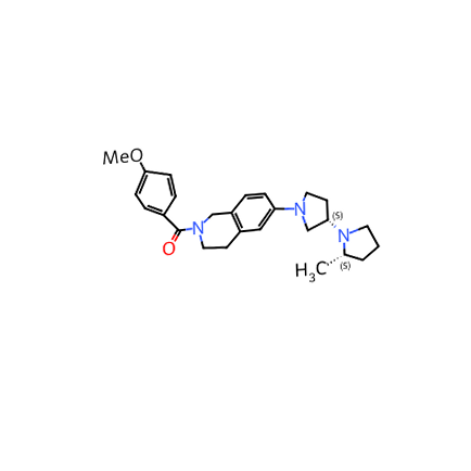 COc1ccc(C(=O)N2CCc3cc(N4CC[C@H](N5CCC[C@@H]5C)C4)ccc3C2)cc1